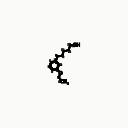 CCOc1cccc(CCCCCO)c1